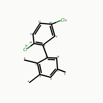 Cc1cc(C)c(C)c(-c2cc(Cl)ccc2Cl)c1